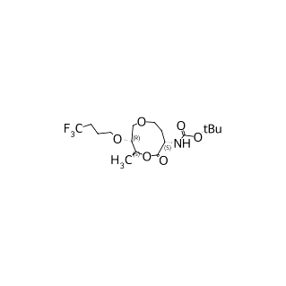 C[C@@H]1OC(=O)[C@@H](NC(=O)OC(C)(C)C)CCOC[C@H]1OCCCC(F)(F)F